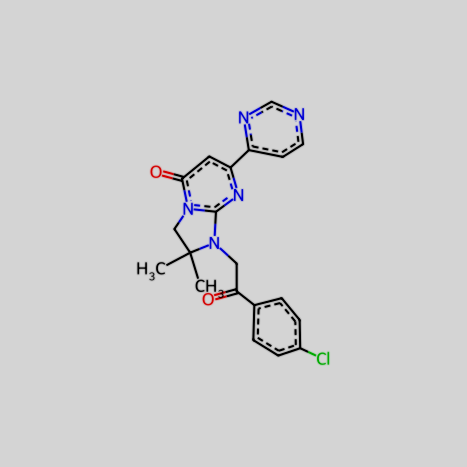 CC1(C)Cn2c(nc(-c3ccncn3)cc2=O)N1CC(=O)c1ccc(Cl)cc1